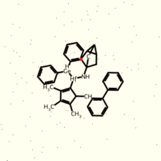 CC1=C(C)C(C)[C]([Hf]([NH]C23CC4C(C2)C4C3)[GeH]([c]2ccccc2)[c]2ccccc2)=C1C.c1ccc(-c2ccccc2)cc1